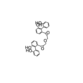 Oc1ccccc1-c1c(O)cccc1C1OC1COCC1OC1c1cccc(O)c1-c1ccccc1O